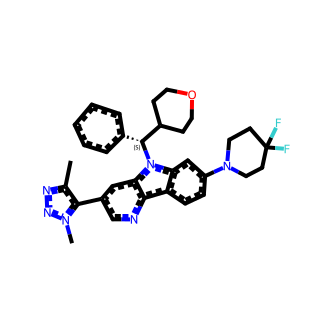 Cc1nnn(C)c1-c1cnc2c3ccc(N4CCC(F)(F)CC4)cc3n([C@H](c3ccccc3)C3CCOCC3)c2c1